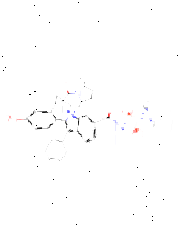 COc1ccc2c(c1)C1CC1(C(=O)N1C(C)CCC1C)Cn1c-2c(C2CCCCC2)c2ccc(C(=O)NS(=O)(=O)N(C)C)cc21